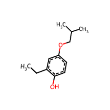 CCc1cc(OCC(C)C)ccc1O